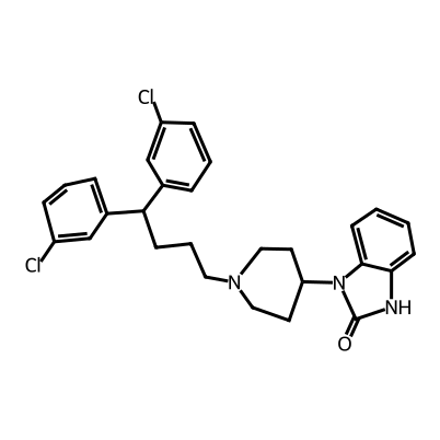 O=c1[nH]c2ccccc2n1C1CCN(CCCC(c2cccc(Cl)c2)c2cccc(Cl)c2)CC1